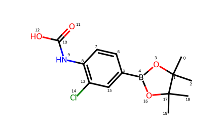 CC1(C)OB(c2ccc(NC(=O)O)c(Cl)c2)OC1(C)C